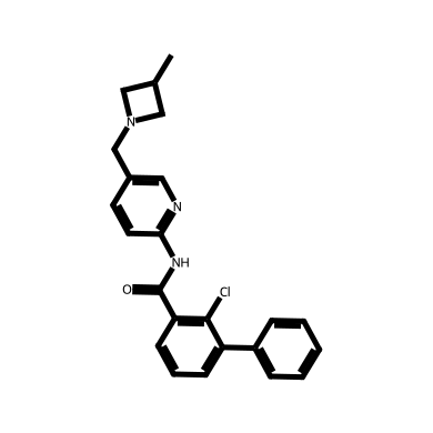 CC1CN(Cc2ccc(NC(=O)c3cccc(-c4ccccc4)c3Cl)nc2)C1